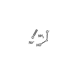 C=O.N.[Na+].[O-]SO